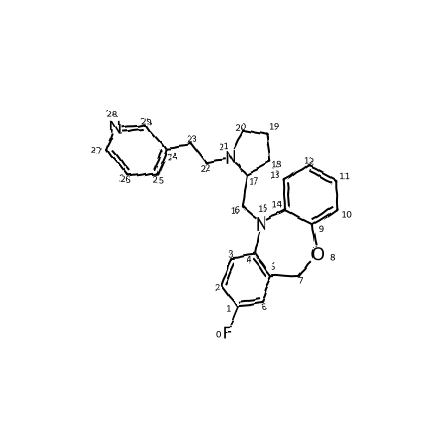 Fc1ccc2c(c1)COc1ccccc1N2CC1CCCN1CCc1cccnc1